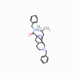 CC(C)CC1C2C3C=NC1(C(=O)NCc1ccccc1)CC3CCN2Cc1ccccc1